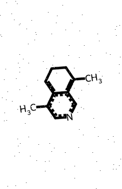 CC1=c2cncc(C)c2=CCC1